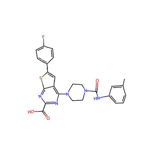 Cc1cccc(NC(=O)N2CCN(c3nc(C(=O)O)nc4sc(-c5ccc(F)cc5)cc34)CC2)c1